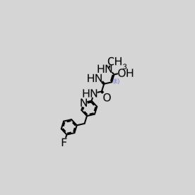 CN/C(O)=C\C(=N)C(=O)Nc1ccc(Cc2cccc(F)c2)cn1